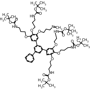 C=NCCCOc1cc(-c2cc(-c3ccccc3)cc(-c3cc(OCCCNC(=O)OC(C)(C)C)c(OCCCNC(=O)OC(C)(C)C)c(OCCCNC(=O)OC(C)(C)C)c3)c2)cc(OCCCNC(=O)OC(C)(C)C)c1OCCCNC(=O)OC(C)(C)C